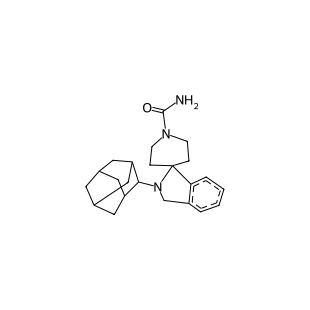 NC(=O)N1CCC2(CC1)c1ccccc1CN2C1C2CC3CC(C2)CC1C3